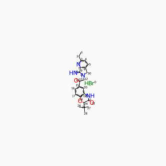 Br.CCc1ccc2c(n1)C(=N)N(CC(=O)c1ccc3c(c1)NC(=O)C(C(C)(C)C)O3)C2